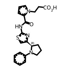 O=C(O)CCn1cccc1C(=O)Nc1nc([C@H]2CCCN2c2ccccc2)cs1